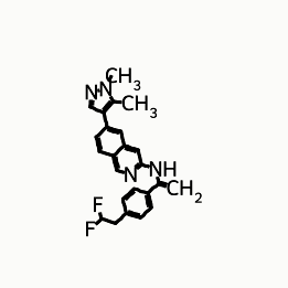 C=C(Nc1cc2cc(-c3cnn(C)c3C)ccc2cn1)c1ccc(CC(F)F)cc1